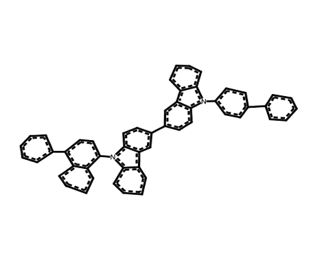 c1ccc(-c2ccc(-n3c4ccccc4c4cc(-c5ccc6c(c5)c5ccccc5n6-c5ccc(-c6ccccc6)c6ccccc56)ccc43)cc2)cc1